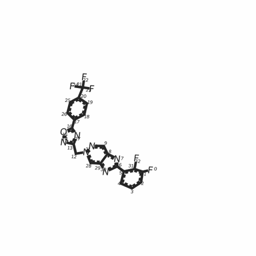 Fc1cccc(-c2nc3cnn(Cc4noc(-c5ccc(C(F)(F)F)cc5)n4)cc-3n2)c1F